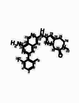 Cc1cccc(F)c1-c1cc2cc(Nc3cc4n(n3)CC(=O)N(C)CC4)ncc2c(N)n1